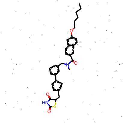 CCCCCCOc1ccc2cc(C(=O)N(C)Cc3cccc(-c4ccc(CC5SC(=O)NC5=O)cc4)c3)ccc2c1